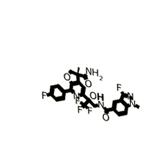 Cn1nc(F)c2cc(C(=O)NCC(O)(c3cc4c(c(-c5ccc(F)cc5)n3)OC[C@]4(C)C(N)=O)C(F)(F)F)ccc21